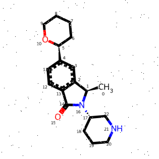 C[C@@H]1c2cc([C@@H]3CCCCO3)ccc2C(=O)N1[C@H]1CCCNC1